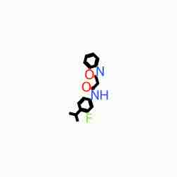 CC(C)c1ccc(NC(=O)Cc2nc3ccccc3o2)cc1F